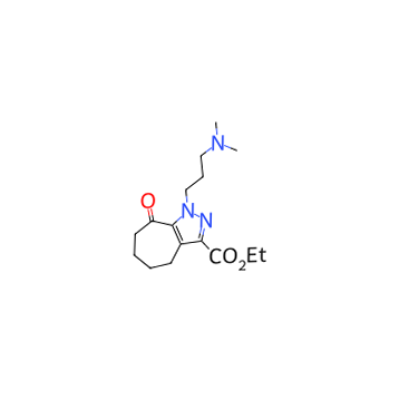 CCOC(=O)c1nn(CCCN(C)C)c2c1CCCCC2=O